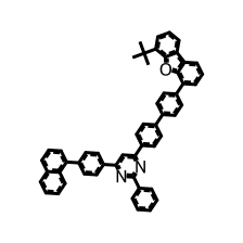 CC(C)(C)c1cccc2c1oc1c(-c3ccc(-c4ccc(-c5cc(-c6ccc(-c7cccc8ccccc78)cc6)nc(-c6ccccc6)n5)cc4)cc3)cccc12